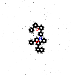 c1ccc(-c2ccc(N(c3ccc(-c4cccc5c4oc4c(-c6ccccc6)cccc45)cc3)c3ccccc3-c3cccc(-c4cccc5ccccc45)c3)cc2)cc1